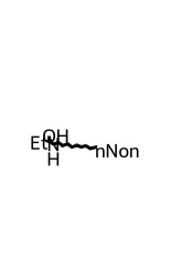 [CH2]CC(O)NCCCCCCCCCCCCCCCCCC